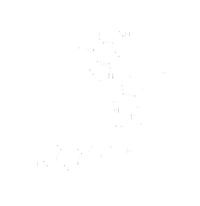 Nc1ncn([C@@H]2O[C@H](COP(=O)(O)OC3C(F)[C@H](n4cnc5c(=O)[nH]c(N)nc54)O[C@@H]3CO)C(O)C2F)c(=O)n1